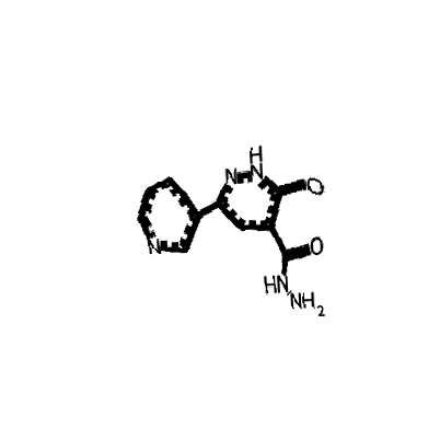 NNC(=O)c1cc(-c2cccnc2)n[nH]c1=O